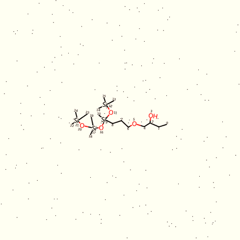 CCC(O)COCCC[Si](C)(O[Si](C)(C)C)O[Si](C)(C)O[Si](C)(C)C